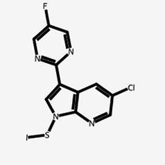 Fc1cnc(-c2cn(SI)c3ncc(Cl)cc23)nc1